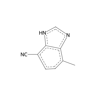 Cc1ccc(C#N)c2[nH]cnc12